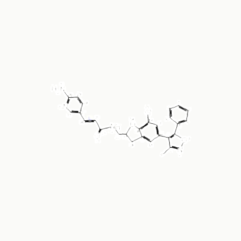 Cc1noc(-c2ccccc2)c1-c1cc(Cl)c2c(c1)CC(CNC(=O)/C=C/c1ccc(N)nc1)O2